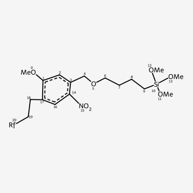 COc1cc(COCCCC[Si](OC)(OC)OC)c([N+](=O)[O-])cc1C[CH2][Rf]